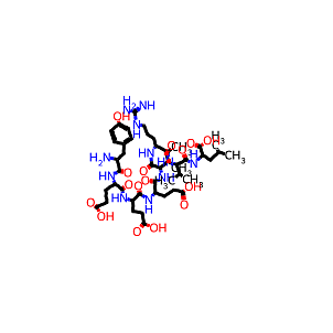 CCC(C)C(NC(=O)C(CCC(=O)O)NC(=O)C(CCC(=O)O)NC(=O)C(CCC(=O)O)NC(=O)C(N)Cc1ccc(O)cc1)C(=O)NC(CCCNC(=N)N)C(=O)NC(C(=O)NC(CC(C)C)C(=O)O)C(C)C